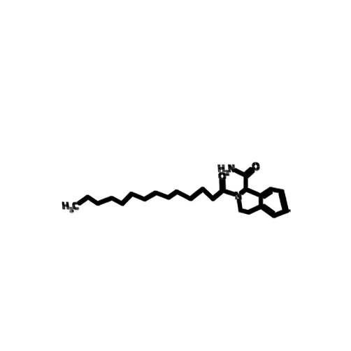 CCCCCCCCCCCCCC(=O)N1CCc2c[c]ccc2C1C(N)=O